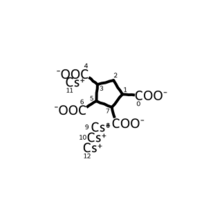 O=C([O-])C1CC(C(=O)[O-])C(C(=O)[O-])C1C(=O)[O-].[Cs+].[Cs+].[Cs+].[Cs+]